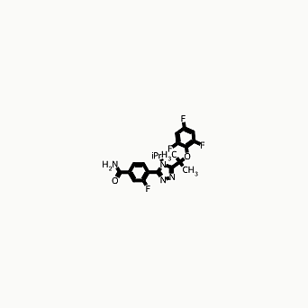 CC(C)n1c(-c2ccc(C(N)=O)cc2F)nnc1C(C)(C)Oc1c(F)cc(F)cc1F